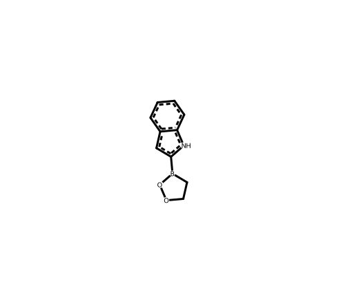 c1ccc2[nH]c(B3CCOO3)cc2c1